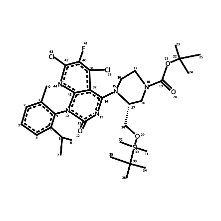 Cc1cccc(C(C)C)c1-n1c(=O)nc(N2CCN(C(=O)OC(C)(C)C)C[C@@H]2CO[Si](C)(C)C(C)(C)C)c2c(Cl)c(F)c(Cl)nc21